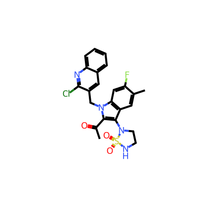 CC(=O)c1c(N2CCNS2(=O)=O)c2cc(C)c(F)cc2n1Cc1cc2ccccc2nc1Cl